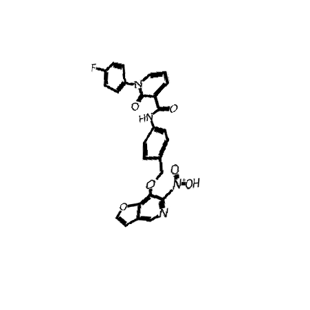 O=C(Nc1ccc(COc2c([N+](=O)O)ncc3ccoc23)cc1)c1cccn(-c2ccc(F)cc2)c1=O